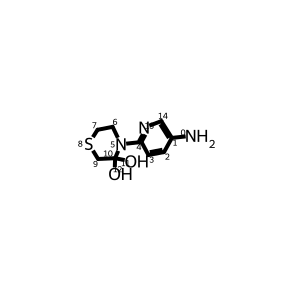 Nc1ccc(N2CCSCC2(O)O)nc1